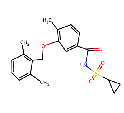 Cc1ccc(C(=O)NS(=O)(=O)C2CC2)cc1OCc1c(C)cccc1C